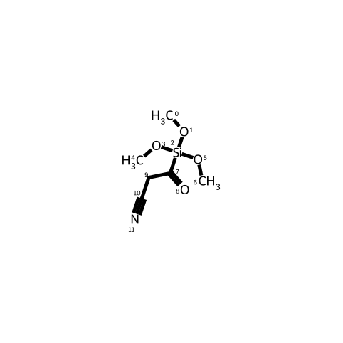 CO[Si](OC)(OC)C(=O)CC#N